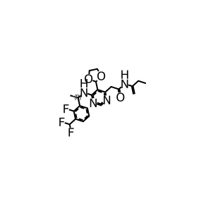 C=C(CC)NC(=O)Cc1ncnc(N[C@H](C)c2cccc(C(F)F)c2F)c1C1OCCO1